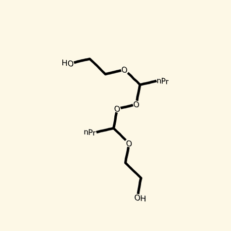 CCCC(OCCO)OOC(CCC)OCCO